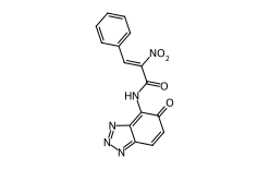 O=C1C=CC2=NN=NC2=C1NC(=O)C(=Cc1ccccc1)[N+](=O)[O-]